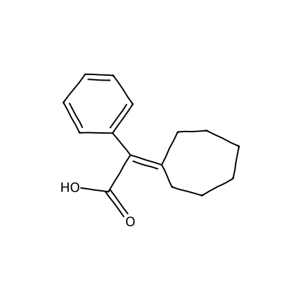 O=C(O)C(=C1CCCCCC1)c1ccccc1